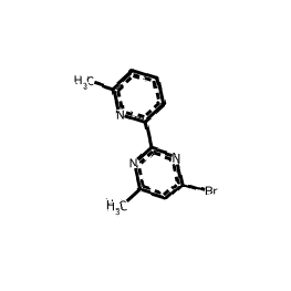 Cc1cccc(-c2nc(C)cc(Br)n2)n1